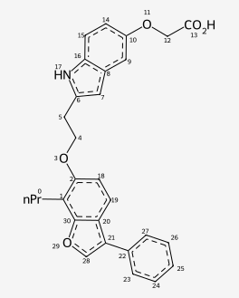 CCCc1c(OCCc2cc3cc(OCC(=O)O)ccc3[nH]2)ccc2c(-c3ccccc3)coc12